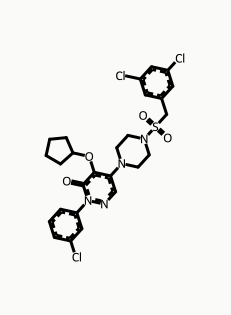 O=c1c(OC2CCCC2)c(N2CCN(S(=O)(=O)Cc3cc(Cl)cc(Cl)c3)CC2)cnn1-c1cccc(Cl)c1